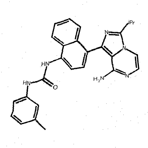 Cc1cccc(NC(=O)Nc2ccc(-c3nc(C(C)C)n4ccnc(N)c34)c3ccccc23)c1